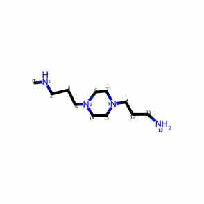 CNCCCN1CCN(CCCN)CC1